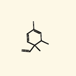 C=CC1(C)C=CC(C)=CC1C